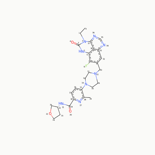 CCN1C(=O)Nc2c(F)c(CN3CCN(c4ccc(C(=O)N[C@@H]5CCOC5)nc4C)CC3)cc3ncnc1c23